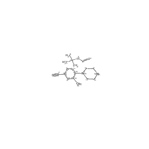 CC(C)(C)OC=O.N#Cc1ccc(N2CCNCC2)c(O)c1